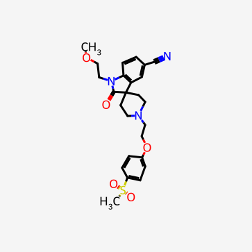 COCCN1C(=O)C2(CCN(CCOc3ccc(S(C)(=O)=O)cc3)CC2)c2cc(C#N)ccc21